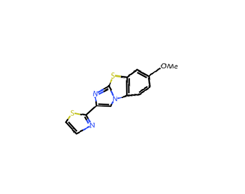 COc1ccc2c(c1)sc1nc(-c3nccs3)cn12